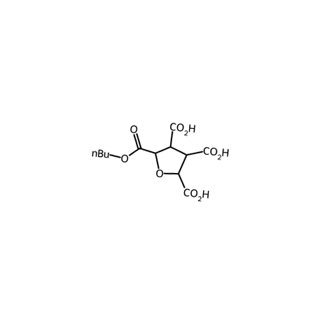 CCCCOC(=O)C1OC(C(=O)O)C(C(=O)O)C1C(=O)O